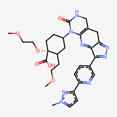 COCCO[C@]1(C(=O)O)CC[C@@H](N2C(=O)NCC3=C2N=C2C(=NN=C2c2ccc(-c4ccn(C)n4)nc2)C3)CC1CCOC